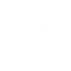 CCCCCNC(=O)[C@H](Cc1ccc(OC(C(=O)O)C(=O)O)cc1)NC(=O)N[C@@H](Cc1ccccc1)C(=O)O